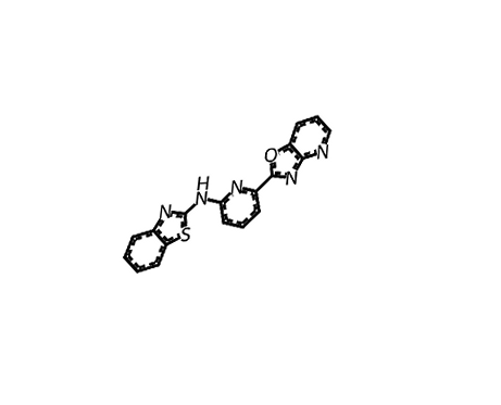 c1cc(Nc2nc3ccccc3s2)nc(-c2nc3ncccc3o2)c1